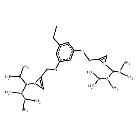 BB(B)B(B)B(B(B)B)B1C=C1COc1cc(CC)cc(OCC2=CB2B(B(B)B)B(B)B(B)B)c1